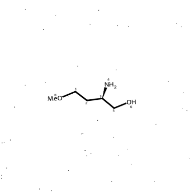 COCC[C@@H](N)CO